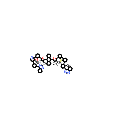 Cc1c(-c2ncnc3ccccc23)cccc1-c1ccnc2c1oc1c(-c3oc(-c4c5ccccc5c(-c5oc(-c6cccc7c6sc6c(-c8cccc(-c9ncnc%10ccccc9%10)c8C)cccc67)c(C)c5C)c5ccccc45)c(C)c3C)cccc12